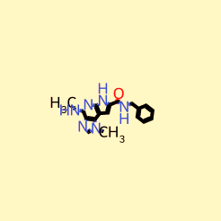 CNc1nc2[nH]c(C(=O)NCc3ccccc3)cc2c2c1ncn2C